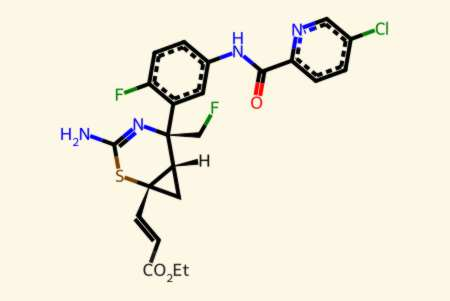 CCOC(=O)/C=C/[C@]12C[C@H]1[C@@](CF)(c1cc(NC(=O)c3ccc(Cl)cn3)ccc1F)N=C(N)S2